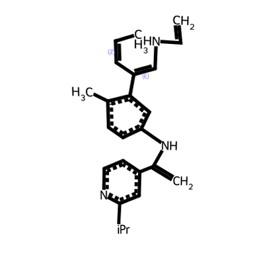 C=CN/C=C(\C=C/C)c1cc(NC(=C)c2ccnc(C(C)C)c2)ccc1C